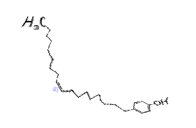 CCCCCCCC/C=C\CCCCCCCCc1ccc(O)cc1